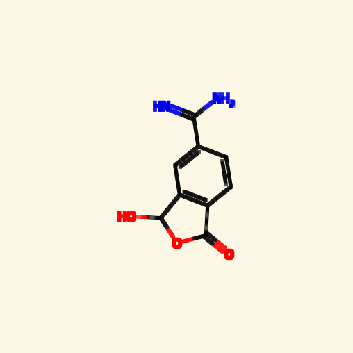 N=C(N)c1ccc2c(c1)C(O)OC2=O